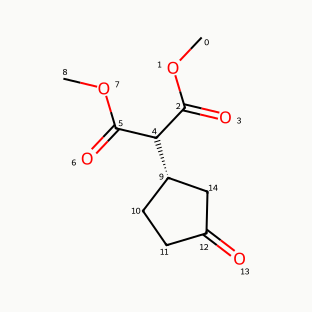 COC(=O)C(C(=O)OC)[C@H]1CCC(=O)C1